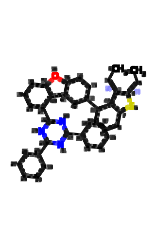 C/C=c1\c(=C/C)sc2cccc(-c3ccc4oc5cccc(-c6nc(-c7ccccc7)nc(-c7ccccc7)n6)c5c4c3)c12